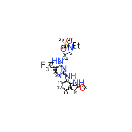 CCN(CCCNc1nc(Nc2cccc3c2NC(=O)C3)ncc1C(F)(F)F)S(C)(=O)=O